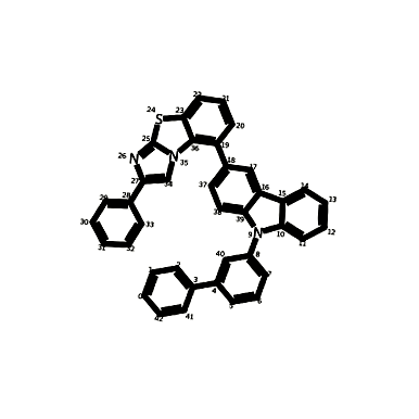 c1ccc(-c2cccc(-n3c4ccccc4c4cc(-c5cccc6sc7nc(-c8ccccc8)cn7c56)ccc43)c2)cc1